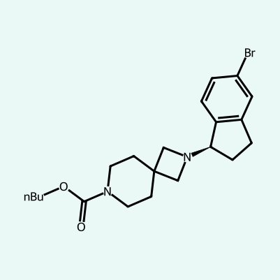 CCCCOC(=O)N1CCC2(CC1)CN([C@@H]1CCc3cc(Br)ccc31)C2